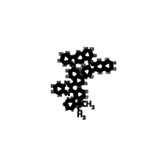 CC1(C)c2ccccc2-c2c(-c3nc4ccccc4nc3-c3cccc4cc(-n5c6ccccc6c6cc7cccc(-n8c9ccccc9c9cc%10ccccc%10cc98)c7cc65)ccc34)cccc21